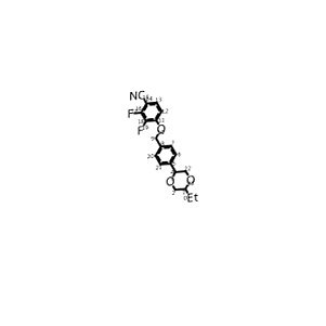 CCC1COC(c2ccc(COc3ccc(C#N)c(F)c3F)cc2)CO1